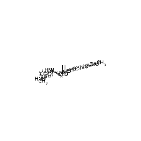 CNC(=O)c1ccccc1Sc1ccc2c(C#Cc3cccc(NC(=O)COCCOCCCCCCOCCOCCOC)c3)n[nH]c2c1